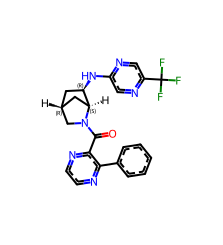 O=C(c1nccnc1-c1ccccc1)N1C[C@@H]2C[C@@H](Nc3cnc(C(F)(F)F)cn3)[C@@H]1C2